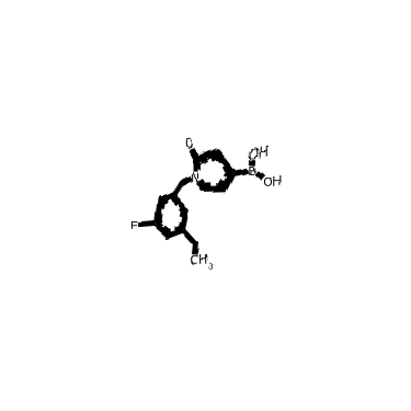 CCc1cc(F)cc(Cn2ccc(B(O)O)cc2=O)c1